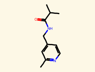 Cc1cc(CNC(=O)C(C)C)ccn1